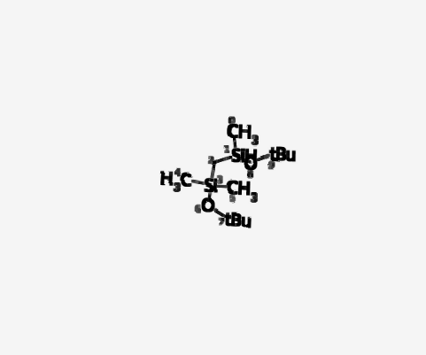 C[SiH](C[Si](C)(C)OC(C)(C)C)OC(C)(C)C